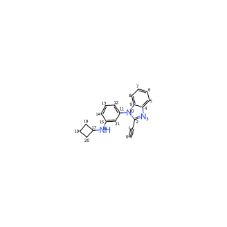 C#Cc1nc2ccccc2n1-c1cccc(NC2CCC2)c1